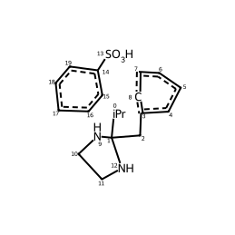 CC(C)C1(Cc2ccccc2)NCCN1.O=S(=O)(O)c1ccccc1